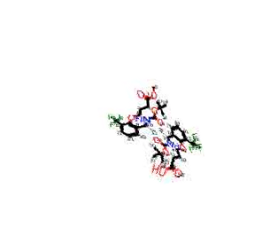 COC(=O)CCCOc1c([C@@H](C)NC(=O)OC(C)(C)C)cccc1C(F)(F)F.C[C@@H](NC(=O)OC(C)(C)C)c1cccc(C(F)(F)F)c1OCCCC(=O)O